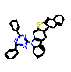 c1ccc(-c2nc(-c3ccccc3)nc(-n3c4ccccc4c4cc5c(cc43)sc3cc4ccccc4cc35)n2)cc1